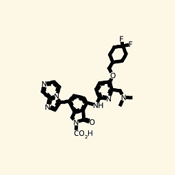 CN(C)Cc1nc(Nc2ccc(-c3cnc4cnccn34)c3c2C(=O)N(C(=O)O)C3)ccc1OCC1CCC(F)(F)CC1